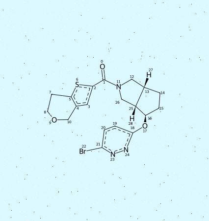 O=C(c1cc2c(s1)CCOC2)N1C[C@@H]2CC[C@@H](Oc3ccc(Br)nn3)[C@@H]2C1